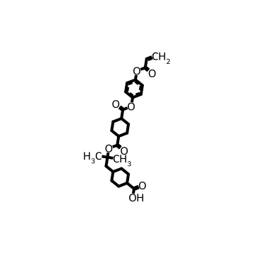 C=CC(=O)Oc1ccc(OC(=O)C2CCC(C(=O)OC(C)(C)CC3CCC(C(=O)O)CC3)CC2)cc1